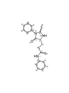 O=C1C(CSC(=S)Nc2ccccc2)NC(=S)N1c1ccccc1